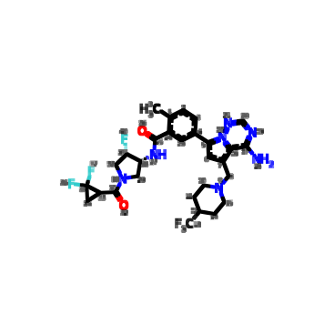 Cc1ccc(-c2cc(CN3CCC(C(F)(F)F)CC3)c3c(N)ncnn23)cc1C(=O)N[C@@H]1CN(C(=O)C2CC2(F)F)C[C@@H]1F